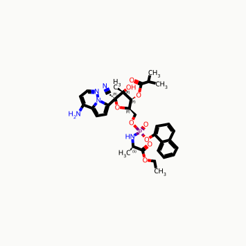 CCOC(=O)[C@H](C)NP(=O)(OC[C@H]1O[C@@](C#N)(c2ccc3c(N)ccnn23)[C@](C)(O)[C@@H]1OC(=O)C(C)C)Oc1cccc2ccccc12